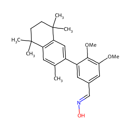 COc1cc(C=NO)cc(-c2cc3c(cc2C)C(C)(C)CCC3(C)C)c1OC